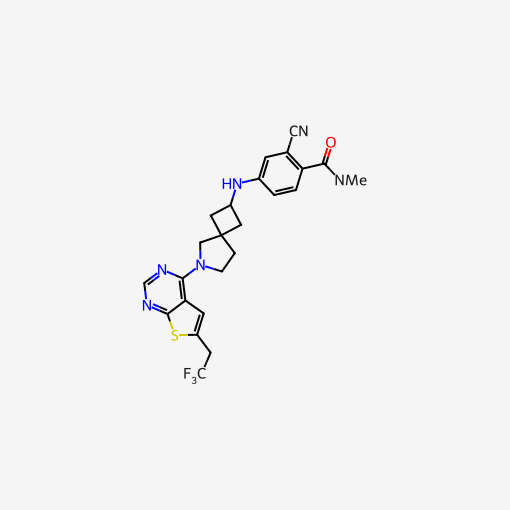 CNC(=O)c1ccc(NC2CC3(CCN(c4ncnc5sc(CC(F)(F)F)cc45)C3)C2)cc1C#N